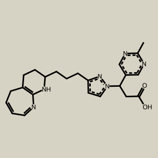 Cc1ncc(C(CC(=O)O)n2ccc(CCCC3CCC4=C(N=CC=CC4)N3)n2)cn1